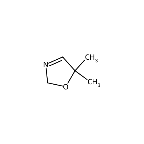 CC1(C)C=NCO1